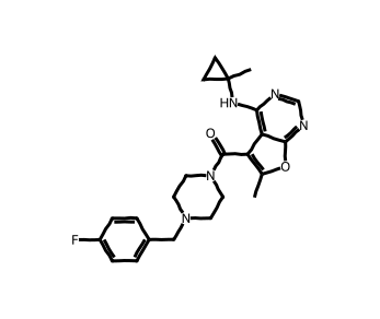 Cc1oc2ncnc(NC3(C)CC3)c2c1C(=O)N1CCN(Cc2ccc(F)cc2)CC1